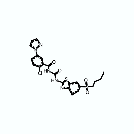 O=C(NC(=O)c1cc(-n2cccn2)ccc1Cl)Nc1nc2ccc(S(=O)(=O)CCCI)cc2s1